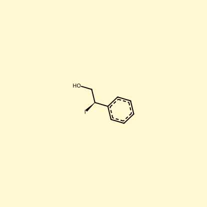 OC[C@H](I)c1ccccc1